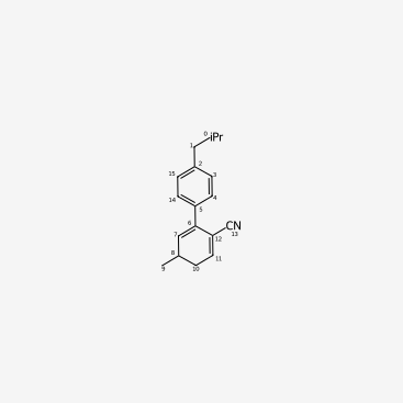 CC(C)Cc1ccc(C2=CC(C)CC=C2C#N)cc1